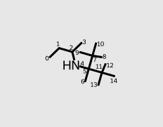 CCC(C)NC(C)(C(C)(C)C)C(C)(C)C